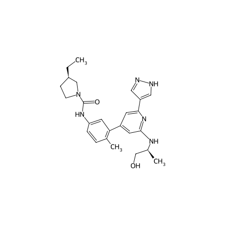 CC[C@@H]1CCN(C(=O)Nc2ccc(C)c(-c3cc(N[C@@H](C)CO)nc(-c4cn[nH]c4)c3)c2)C1